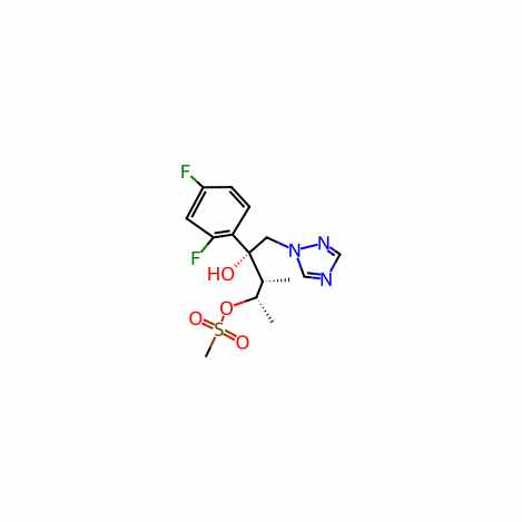 C[C@H](OS(C)(=O)=O)[C@@H](C)[C@](O)(Cn1cncn1)c1ccc(F)cc1F